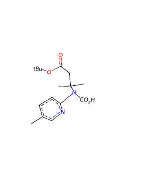 Cc1ccc(N(C(=O)O)C(C)(C)CC(=O)OC(C)(C)C)nc1